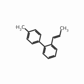 [CH2]c1ccc(-c2ccccc2C=CC)cc1